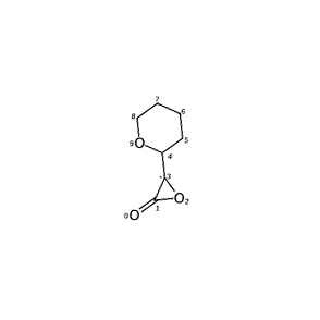 O=C1O[C]1C1CCCCO1